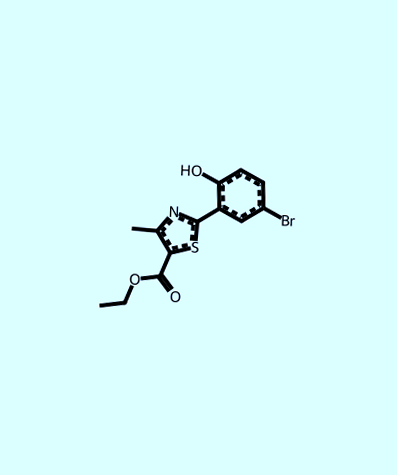 CCOC(=O)c1sc(-c2cc(Br)ccc2O)nc1C